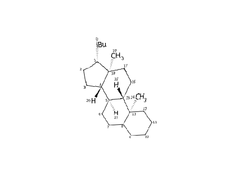 CCC(C)[C@H]1CC[C@H]2[C@@H]3CCC4CCCC[C@]4(C)[C@H]3CC[C@]12C